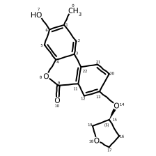 Cc1cc2c(cc1O)oc(=O)c1cc(O[C@H]3CCOC3)ccc12